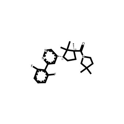 CC1(C)CCN(C(=O)[C@@]2(C)CC[C@H](c3cnnc(-c4c(F)cccc4F)c3)C2(C)C)C1